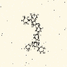 c1ccc(-c2cc(-c3ccccc3)nc(-c3ccc(-c4ccc5sc6c(sc7c6c6ccccc6n7-c6ccccc6)c5c4)cc3)n2)cc1